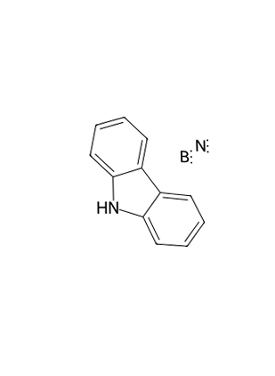 [B].[N].c1ccc2c(c1)[nH]c1ccccc12